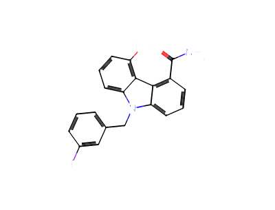 NC(=O)c1cccc2c1c1c(O)cccc1n2Cc1cccc(I)c1